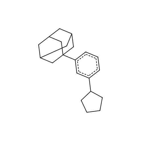 c1cc(C2CCCC2)cc(C23CC4CC(CC(C4)C2)C3)c1